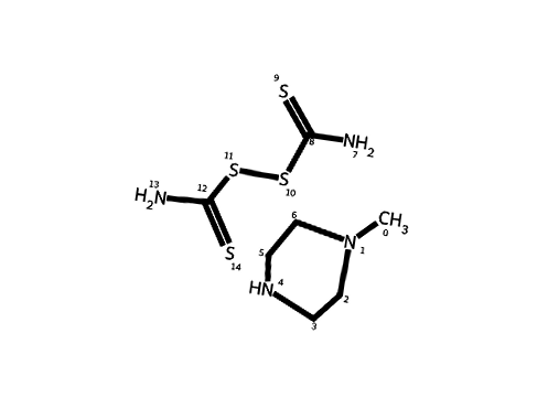 CN1CCNCC1.NC(=S)SSC(N)=S